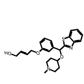 CN1CCC(OC(c2cccc(OC/C=C/CO)c2)c2nc3ccccc3s2)CC1